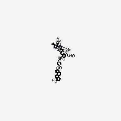 CO[C@@H](C[C@H](C)CC1=C(NCCN2CCN(C(=O)Oc3ccc4c(c3)CCC3C4CCC4(C)C(O)CCC34)CC2)C(=O)C=C(NC=O)C1=O)C1OO[C@@H](/C=C\C=C(C)C)C(OC(N)=O)/C(C)=C/[C@@H]1C